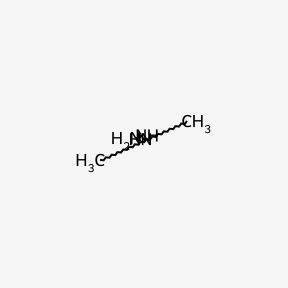 CCCCCCCCCCCCCCNCC(CCCCCCCCCCCCCC)C(=N)N